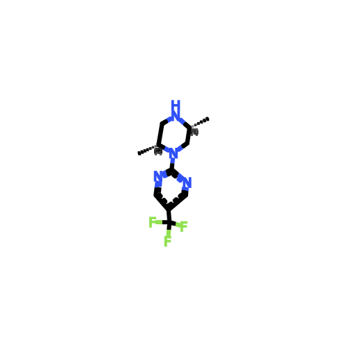 C[C@@H]1CN(c2ncc(C(F)(F)F)cn2)[C@H](C)CN1